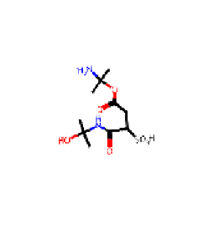 CC(C)(O)NC(=O)C(CC(=O)OC(C)(C)N)S(=O)(=O)O